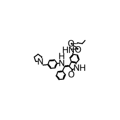 CCCS(=O)(=O)Nc1ccc2c(c1)C(=C(Nc1ccc(CN3CCCC3)cc1)c1ccccc1)C(=O)N2